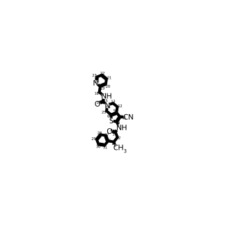 CC(CC(=O)Nc1sc2c(c1C#N)CCN(C(=O)NCc1ccccn1)C2)c1ccccc1